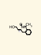 CN(N=O)c1ccccc1C/C=C/CO